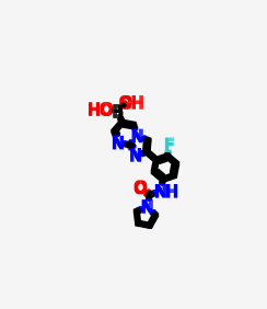 O=C(Nc1ccc(F)c(-c2cn3cc(B(O)O)cnc3n2)c1)N1CCCC1